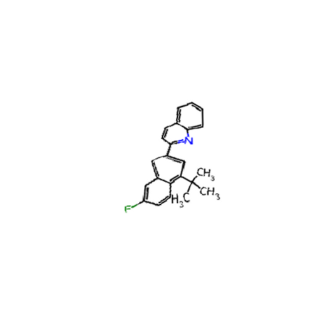 CC(C)(C)c1cc(-c2ccc3ccccc3n2)cc2cc(F)ccc12